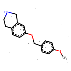 FC(F)(F)Oc1ccc(COc2ccc3c(c2)CNCC3)cc1